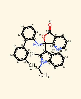 CCn1c(C)c(C2(Nc3ccccc3-c3cccc(C)c3)OC(=O)c3cccnc32)c2ccccc21